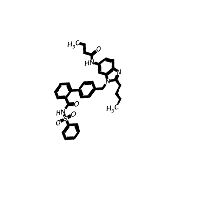 CCCCc1nc2ccc(NC(=O)CCC)cc2n1Cc1ccc(-c2ccccc2C(=O)NS(=O)(=O)c2ccccc2)cc1